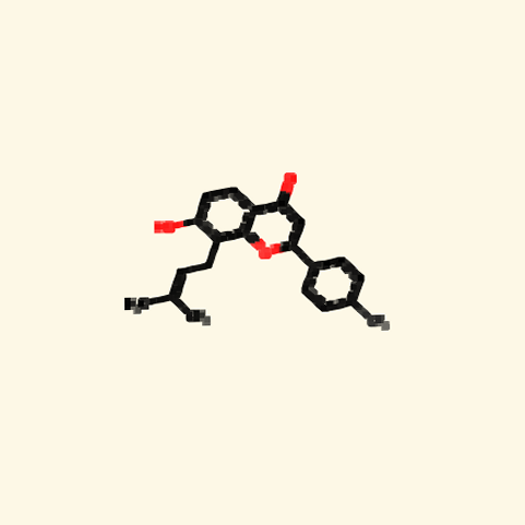 CC(C)=CCc1c(O)ccc2c(=O)cc(-c3ccc(C(F)(F)F)cc3)oc12